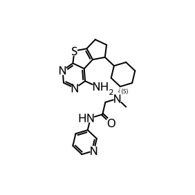 CN(CC(=O)Nc1cccnc1)[C@H]1CCCC(C2CCc3sc4ncnc(N)c4c32)C1